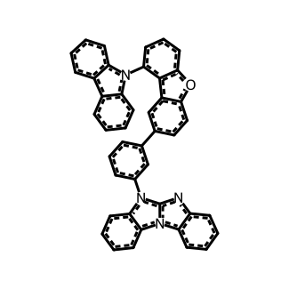 c1cc(-c2ccc3oc4cccc(-n5c6ccccc6c6ccccc65)c4c3c2)cc(-n2c3ccccc3n3c4ccccc4nc23)c1